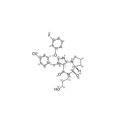 O=C1c2c(nc(Oc3cccc(F)c3)n2Cc2ccc(Cl)cc2)N2CCC[C@@H]2C(=O)N1CCCO